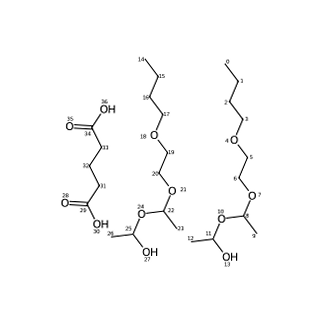 CCCCOCCOC(C)OC(C)O.CCCCOCCOC(C)OC(C)O.O=C(O)CCCC(=O)O